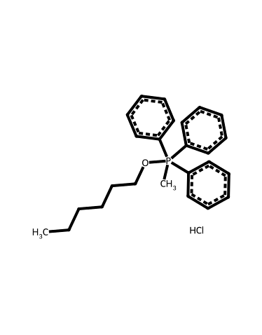 CCCCCCOP(C)(c1ccccc1)(c1ccccc1)c1ccccc1.Cl